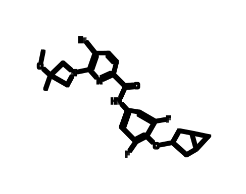 COC1(C)CN(c2nc(C(=O)Nc3cc(F)c(OC4CC5CC5C4)c(F)c3)ccc2Br)C1